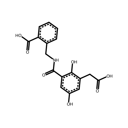 O=C(O)Cc1cc(O)cc(C(=O)NCc2ccccc2C(=O)O)c1O